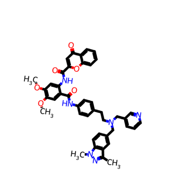 COc1cc(NC(=O)c2cc(=O)c3ccccc3o2)c(C(=O)Nc2ccc(CCN(Cc3cccnc3)Cc3ccc4c(c3)c(C)nn4C)cc2)cc1OC